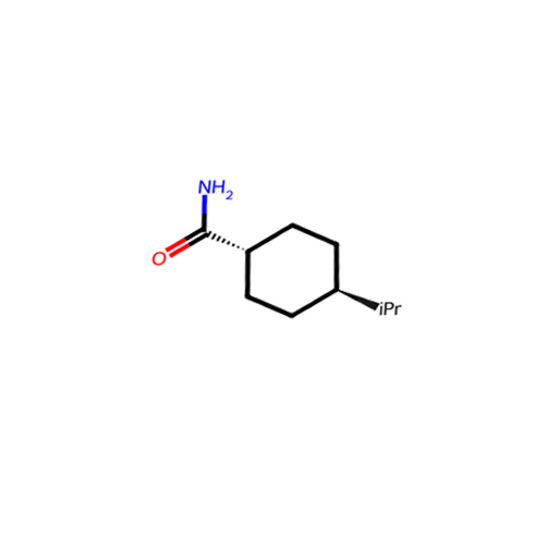 CC(C)[C@H]1CC[C@H](C(N)=O)CC1